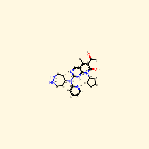 CC(=O)c1c(C)c2cnc(N(c3ccccn3)C3CCNNCC3)nc2n(C2CCCC2)c1=O